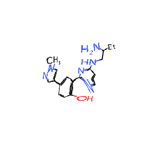 CCC(N)CNc1ccnc(-c2cc(-c3cnn(C)c3)ccc2O)n1